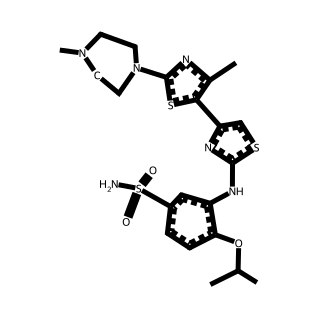 Cc1nc(N2CCN(C)CC2)sc1-c1csc(Nc2cc(S(N)(=O)=O)ccc2OC(C)C)n1